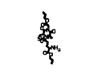 CCCOC(=O)CN(C(=O)CC)C(=O)C(CS)NC(=O)CCC(N)C(=O)OCCC